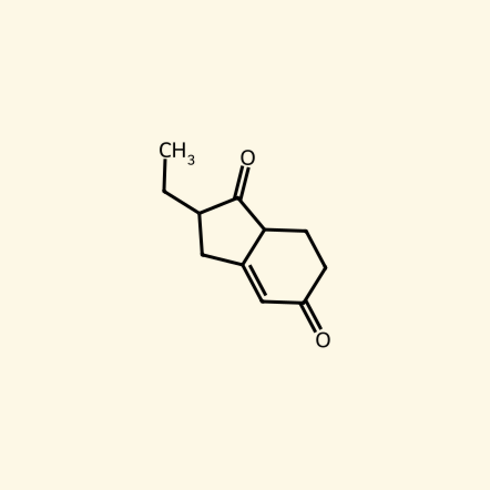 CCC1CC2=CC(=O)CCC2C1=O